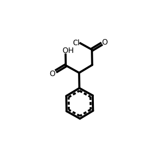 O=C(Cl)CC(C(=O)O)c1ccccc1